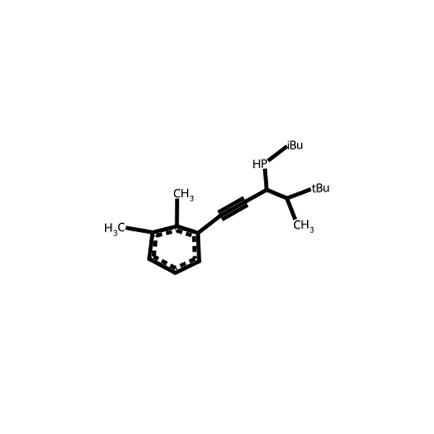 CCC(C)PC(C#Cc1cccc(C)c1C)C(C)C(C)(C)C